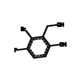 OCc1c(O)ccc(F)c1Br